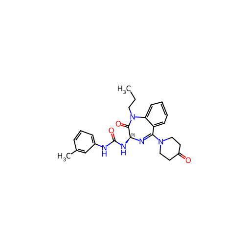 CCCN1C(=O)[C@H](NC(=O)Nc2cccc(C)c2)N=C(N2CCC(=O)CC2)c2ccccc21